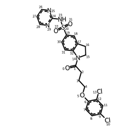 O=C(CCCOc1ccc(Cl)cc1Cl)N1CCc2cc(S(=O)(=O)Nc3ncccn3)ccc21